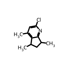 Cc1cc(Cl)nc2c1C(C)CC2C